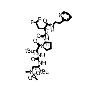 CN(C[C@@H](NC(=O)N[C@H](C(=O)N1CCC[C@H]1C(=O)N[C@@H](CC(F)F)C(=O)NCCc1ccccn1)C(C)(C)C)C(C)(C)C)S(C)(=O)=O